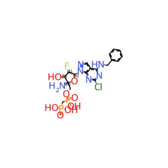 N[C@]1(COP(=O)(O)CP(=O)(O)O)O[C@@H](n2ncc3c(NCc4ccccc4)nc(Cl)nc32)[C@@H](F)[C@@H]1O